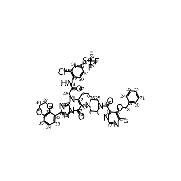 CCc1c(N2CCN(C(=O)c3ncnc(C)c3OCc3ccccc3)CC2)c(=O)n2nc(-c3cccc4c3OCCO4)nc2n1CC(=O)Nc1ccc(SC(F)(F)F)cc1Cl